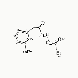 CCCc1cccc(CC(=O)OCOC(=O)CC)c1